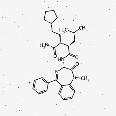 CC(C)C[C@@H](C(=O)N[C@H]1N=C(c2ccccc2)c2ccccc2N(C)C1=O)[C@H](CCC1CCCC1)C(N)=O